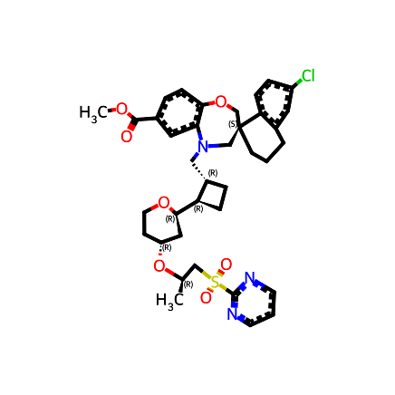 COC(=O)c1ccc2c(c1)N(C[C@@H]1CC[C@H]1[C@H]1C[C@H](O[C@H](C)CS(=O)(=O)c3ncccn3)CCO1)C[C@@]1(CCCc3cc(Cl)ccc31)CO2